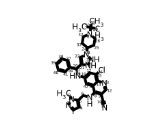 Cn1nccc1CNc1c(C#N)cnc2c(Cl)cc(N[C@H](C3=CN(C4CCN(C(C)(C)C)CC4)NN3)c3ccccc3)cc12